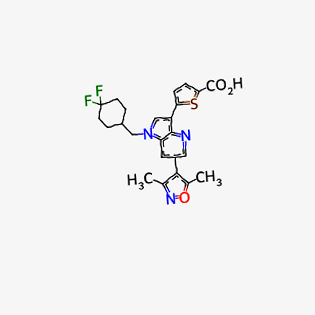 Cc1noc(C)c1-c1cnc2c(-c3ccc(C(=O)O)s3)cn(CC3CCC(F)(F)CC3)c2c1